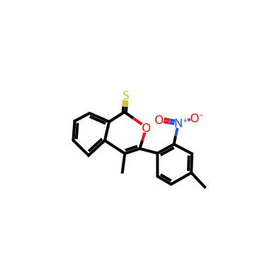 Cc1ccc(-c2oc(=S)c3ccccc3c2C)c([N+](=O)[O-])c1